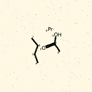 CC(=O)O.CCCC.[Pr]